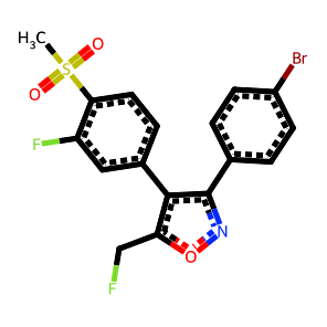 CS(=O)(=O)c1ccc(-c2c(-c3ccc(Br)cc3)noc2CF)cc1F